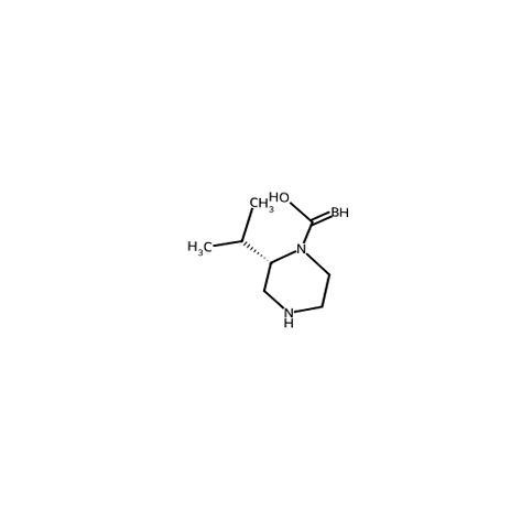 B=C(O)N1CCNC[C@@H]1C(C)C